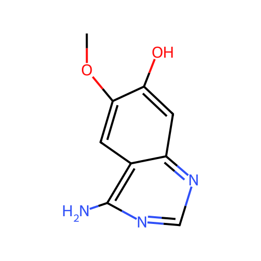 COc1cc2c(N)ncnc2cc1O